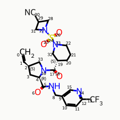 C=C[C@@H]1C[C@H](C(=O)NCc2ccc(C(F)(F)F)nc2)N(C(=O)[C@H]2CCCN(S(=O)(=O)N3CC(C#N)C3)C2)C1